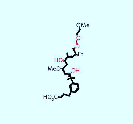 CC[C@H](C=C(C)[C@@H](O)C[C@H](C[C@H](O)C(C)(C)c1cccc(CCCC(=O)O)c1)OC)COCOCCOC